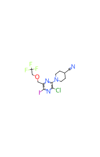 N#CC1CCN(c2nc(COCC(F)(F)F)c(I)nc2Cl)CC1